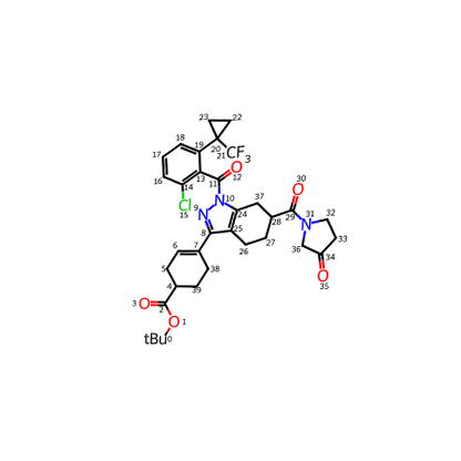 CC(C)(C)OC(=O)C1CC=C(c2nn(C(=O)c3c(Cl)cccc3C3(C(F)(F)F)CC3)c3c2CCC(C(=O)N2CCC(=O)C2)C3)CC1